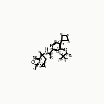 Cc1nc(C(C)(CC2CC2)NC(=O)c2cc(O[C@@H](C)C(F)(F)F)c(C3CCC3)cn2)no1